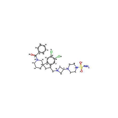 NS(=O)(=O)N1CCN(C2CN(CCCC3(c4ccc(Cl)c(Cl)c4)CCCN(C(=O)c4ccccc4)C3)C2)CC1